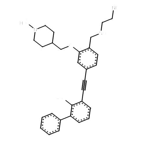 Cc1c(C#Cc2ccc(CNCCN)c(OCC3CCN(C)CC3)c2)cccc1-c1ccccc1